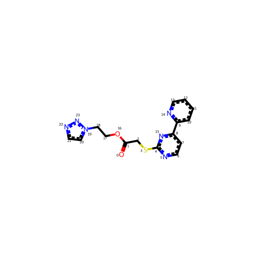 O=C(CSc1nccc(-c2ccccn2)n1)OCCn1ccnn1